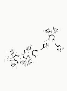 CC1O[C@H](O[C@@H]2C(C)O[C@@H](OCc3cn(C[C@H]4O[C@H](OCc5cn(C)nn5)C[C@@H](OS(=O)(=O)O)[C@@H]4OS(=O)(=O)O)nn3)C[C@H]2OS(=O)(=O)O)C(OS(=O)(=O)O)[C@@H](OS(=O)(=O)O)[C@@H]1O[C@H]1OC(C)[C@@H](OS(=O)(=O)O)[C@H](OS(=O)(=O)O)C1OS(=O)(=O)O